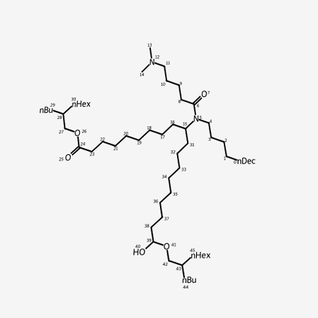 CCCCCCCCCCCCCCN(C(=O)CCCCN(C)C)C(CCCCCCCCC(=O)OCC(CCCC)CCCCCC)CCCCCCCCC(O)OCC(CCCC)CCCCCC